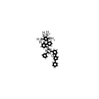 Bc1c(B)c(B)c(-c2cccc3c2c2ccccc2n3-c2nc(-c3ccccc3)nc(-c3cccc4c3oc3cc(-c5ccccc5)ccc34)n2)c(B)c1B